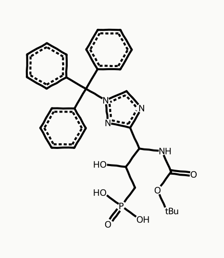 CC(C)(C)OC(=O)NC(c1ncn(C(c2ccccc2)(c2ccccc2)c2ccccc2)n1)C(O)CP(=O)(O)O